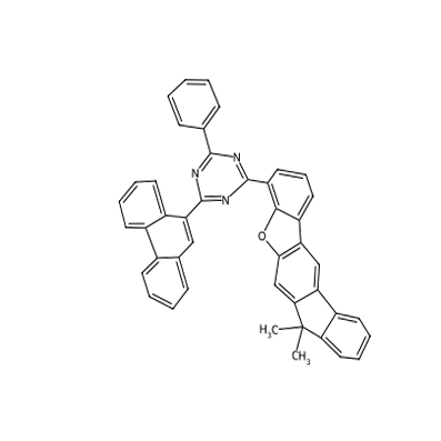 CC1(C)c2ccccc2-c2cc3c(cc21)oc1c(-c2nc(-c4ccccc4)nc(-c4cc5ccccc5c5ccccc45)n2)cccc13